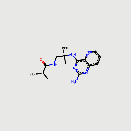 CCCC[C@H](C)C(=O)NC[C@](C)(CCCC)Nc1nc(N)nc2cccnc12